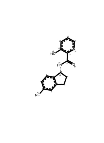 N#Cc1ccc2c(c1)CC[C@H]2NC(=O)c1ncccc1O